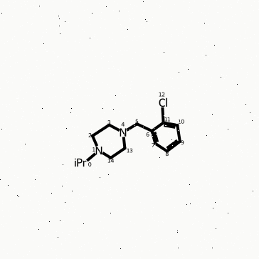 CC(C)N1CCN(Cc2ccccc2Cl)CC1